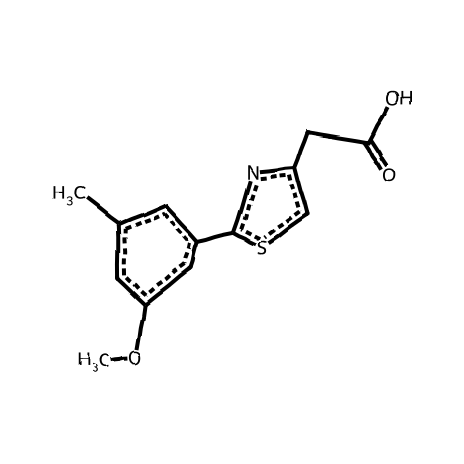 COc1cc(C)cc(-c2nc(CC(=O)O)cs2)c1